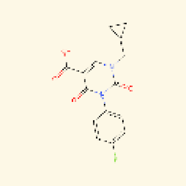 O=C(O)c1cn(CC2CC2)c(=O)n(-c2ccc(F)cc2)c1=O